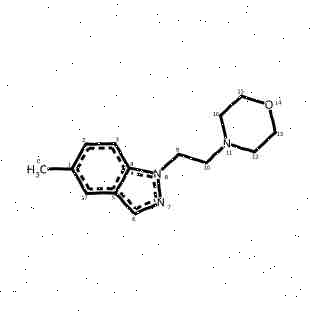 Cc1ccc2c(cnn2CCN2CCOCC2)c1